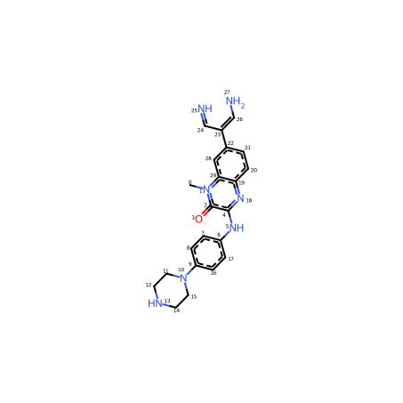 Cn1c(=O)c(Nc2ccc(N3CCNCC3)cc2)nc2ccc(/C(C=N)=C/N)cc21